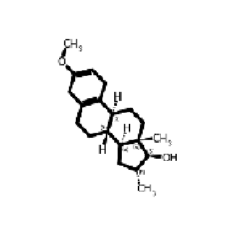 COC1=CCC2=C(CC[C@@H]3[C@@H]2CC[C@]2(C)[C@@H](O)[C@H](C)C[C@@H]32)C1